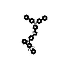 c1ccc(-c2ccc(N(c3ccc(-c4ccccc4)cc3)c3ccc(-c4ccc(-c5ccc(-n6c7ccccc7c7cc8c(cc76)Oc6ccccc6O8)cc5)s4)cc3)cc2)cc1